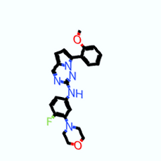 COc1ccccc1-c1ccc2cnc(Nc3ccc(F)c(N4CCOCC4)c3)nn12